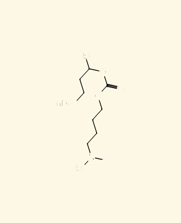 [CH2]CC(CCCCCCCCCCCC)OC(=O)OCCCCN(CC)CC